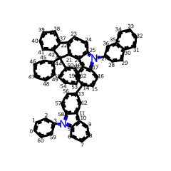 c1ccc(-n2c3ccccc3c3cc(-c4ccc5c(c4)c4c6c(ccc4n5-c4ccc5ccccc5c4)-c4ccccc4C6(c4ccccc4)c4ccccc4)ccc32)cc1